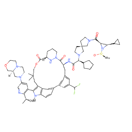 CCn1c(-c2cc(N3CCN4CCOC[C@@H]4C3)cnc2[C@H](C)OC)c2c3cc(ccc31)-c1cc(cc(C(F)F)c1)C[C@H](NC(=O)[C@H](C1CCCC1)N1CC[C@]3(CCN(C(=O)[C@H]4[C@@H](C5CC5)N4[S@+]([O-])C(C)(C)C)C3)C1)C(=O)N1CCC[C@H](N1)C(=O)OCC(C)(C)C2